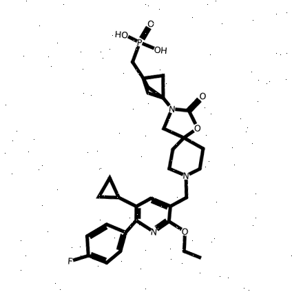 CCOc1nc(-c2ccc(F)cc2)c(C2CC2)cc1CN1CCC2(CC1)CN(C13CC(CP(=O)(O)O)(C1)C3)C(=O)O2